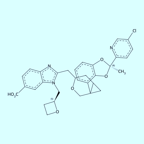 C[C@@]1(c2ccc(Cl)cn2)Oc2cccc(C34COC(Cc5nc6ccc(C(=O)O)cc6n5C[C@@H]5CCO5)CC3C4)c2O1